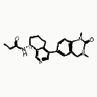 CCC(=O)N[C@@H]1CCCc2c(-c3ccc4c(c3)CN(C)C(=O)N4C)cncc21